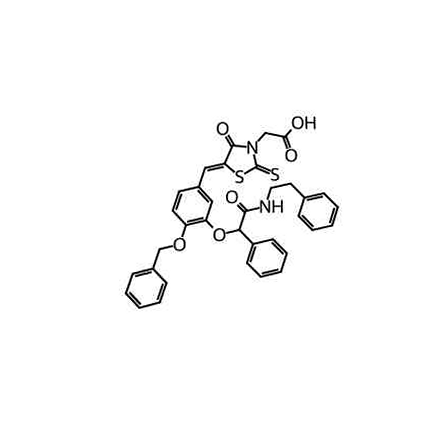 O=C(O)CN1C(=O)C(=Cc2ccc(OCc3ccccc3)c(OC(C(=O)NCCc3ccccc3)c3ccccc3)c2)SC1=S